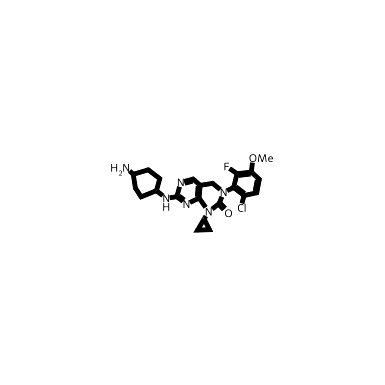 COc1ccc(Cl)c(N2Cc3cnc(NC4CCC(N)CC4)nc3N(C3CC3)C2=O)c1F